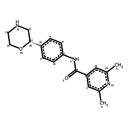 Cc1cc(C(=O)Nc2ccc([C@H]3CNCCO3)cc2)cc(C)n1